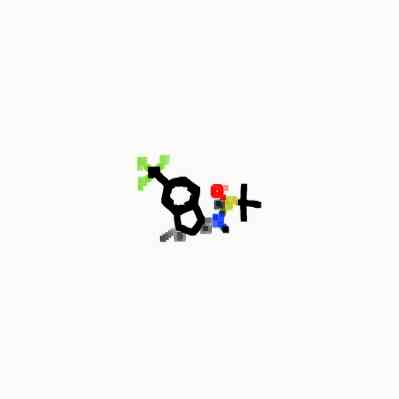 C[C@H]1C[C@@H](N(C)[S@+]([O-])C(C)(C)C)c2ccc(C(F)(F)F)cc21